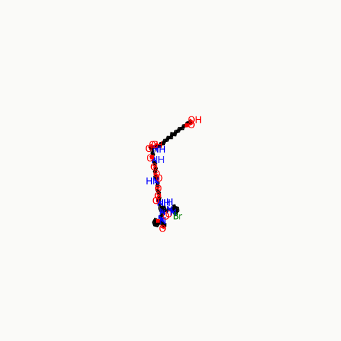 CC(=O)c1nn(CC(=O)N2C[C@@H](CNC(=O)COCCOCCNC(=O)COCCOCCNC(=O)CC[C@H](NC(=O)CCCCCCCCCCCCCCCCC(=O)O)C(=O)O)C[C@H]2C(=O)Nc2nc(Br)ccc2C)c2ccccc12